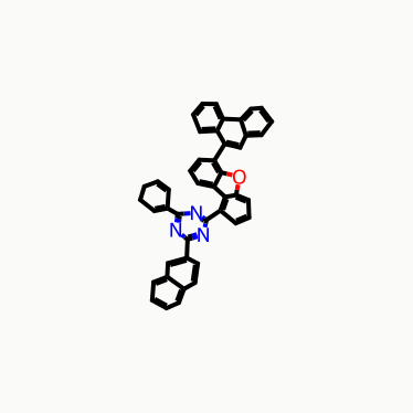 C1=CC(c2nc(-c3ccc4ccccc4c3)nc(-c3cccc4oc5c(-c6cc7ccccc7c7ccccc67)cccc5c34)n2)=CCC1